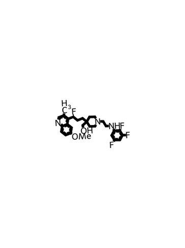 COc1ccc2ncc(C)c([C@H](F)CCC3(CO)CCN(CCNc4cc(F)cc(F)c4F)CC3)c2c1